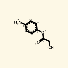 N#CCC(=O)Oc1ccc(N)cc1